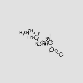 CN(C)CCNc1cc(F)cc(-c2nccc3[nH]c(-c4n[nH]c5ncc(-c6cncc(OCc7ccccc7)c6)cc45)cc23)c1